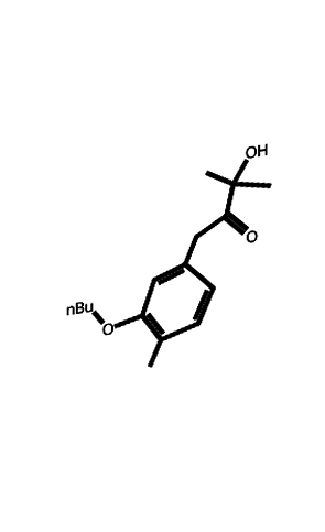 CCCCOc1cc(CC(=O)C(C)(C)O)ccc1C